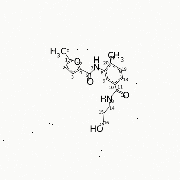 Cc1ccc(C(=O)Nc2cc(C(=O)NCCCO)ccc2C)o1